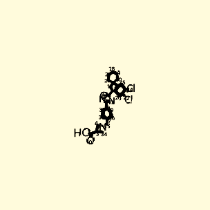 O=C(O)C1CN(Cc2ccc(-c3noc(/C=C/C4(c5ccc(Cl)c(Cl)c5)CCCCC4)n3)cc2)C1